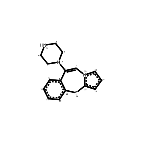 C1=C(N2CCNCC2)c2ccccc2Sc2cccn21